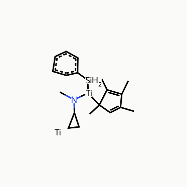 CC1=C[C](C)([Ti]([SiH2]c2ccccc2)[N](C)C2CC2)C(C)=C1C.[Ti]